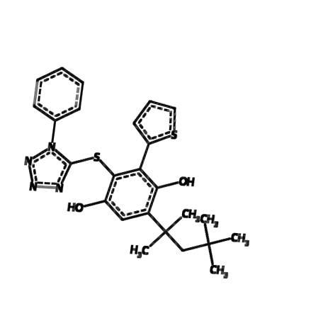 CC(C)(C)CC(C)(C)c1cc(O)c(Sc2nnnn2-c2ccccc2)c(-c2cccs2)c1O